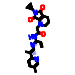 C=C/C(=N\C=C(/C)c1ccc(C)cn1)NC(=O)CN1CCCC2=C1C(=O)N(C1CC1)C2=O